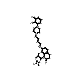 CC(C)C(OP(C)(=O)O)N1C(=O)CCc2ccc(OCCCCN3CCN(c4cccc(Cl)c4Cl)CC3)cc21